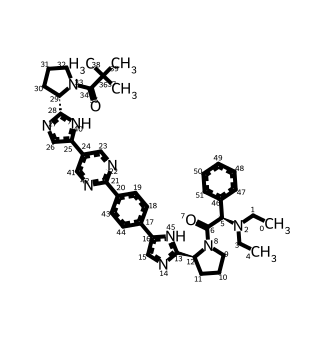 CCN(CC)[C@@H](C(=O)N1CCC[C@H]1c1ncc(-c2ccc(-c3ncc(-c4cnc([C@@H]5CCCN5C(=O)C(C)(C)C)[nH]4)cn3)cc2)[nH]1)c1ccccc1